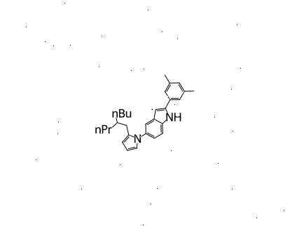 CCCCC(CCC)Cc1cccn1-c1ccc2[nH]c(-c3cc(C)cc(C)c3)[c]c2c1